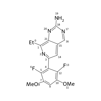 CCc1nc(-c2c(F)c(OC)cc(OC)c2F)cc2cnc(N)nc12